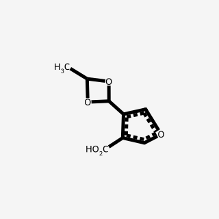 CC1OC(c2cocc2C(=O)O)O1